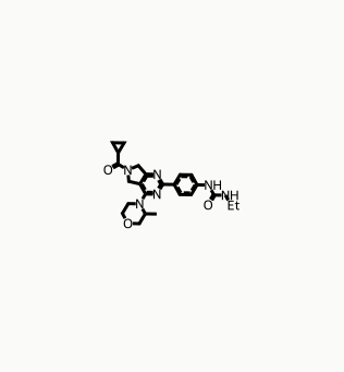 CCNC(=O)Nc1ccc(-c2nc3c(c(N4CCOCC4C)n2)CN(C(=O)C2CC2)C3)cc1